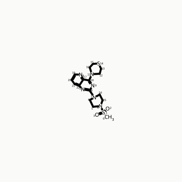 CS(=O)(=O)N1CCN(c2nc(N3CCSCC3)c3ncccc3n2)CC1